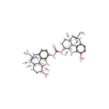 CN1CC[C@]23c4c5ccc(O)c4O[C@H]2[C@@H](OC(=O)Oc2ccc4c6c2O[C@H]2[C@@H](O)CC[C@H]7[C@@H](C4)N(C)CC[C@@]672)CC[C@H]3C1C5